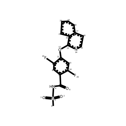 CS(=O)(=O)NC(=O)c1cc(F)c(Oc2nccc3ccccc23)cc1F